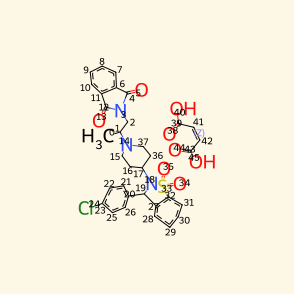 CC(CN1C(=O)c2ccccc2C1=O)N1CCC(N2C(c3ccc(Cl)cc3)c3ccccc3S2(=O)=O)CC1.O=C(O)/C=C\C(=O)O